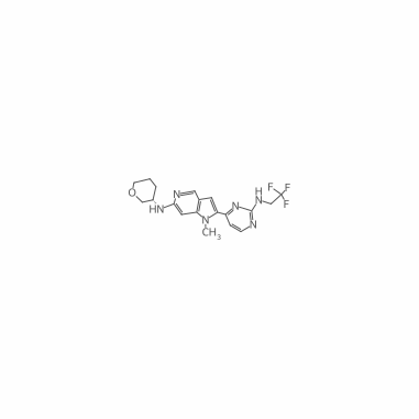 Cn1c(-c2ccnc(NCC(F)(F)F)n2)cc2cnc(N[C@H]3CCCOC3)cc21